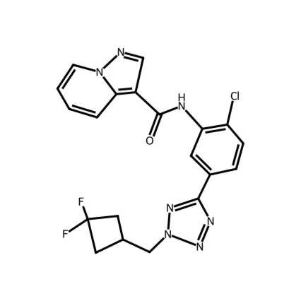 O=C(Nc1cc(-c2nnn(CC3CC(F)(F)C3)n2)ccc1Cl)c1cnn2ccccc12